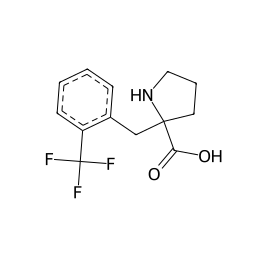 O=C(O)C1(Cc2ccccc2C(F)(F)F)CCCN1